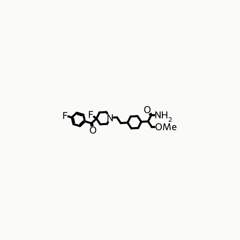 COCC(C(N)=O)C1CCC(CCN2CCC(F)(C(=O)c3ccc(F)cc3)CC2)CC1